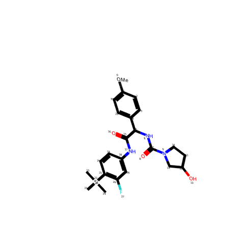 COc1ccc(C(NC(=O)N2CCC(O)C2)C(=O)Nc2ccc([Si](C)(C)C)c(F)c2)cc1